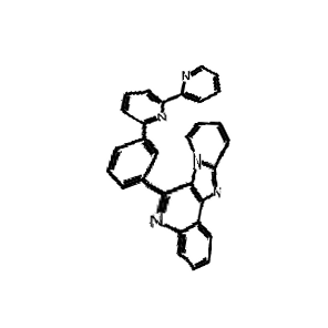 c1ccc(-c2cccc(-c3cccc(-c4nc5ccccc5c5nc6ccccn6c45)c3)n2)nc1